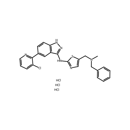 CN(Cc1ccccc1)Cc1cnc(Nc2n[nH]c3ccc(-c4ncccc4Cl)cc23)s1.Cl.Cl.Cl